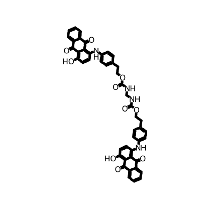 O=C(NCNC(=O)OCCc1ccc(Nc2ccc(O)c3c2C(=O)c2ccccc2C3=O)cc1)OCCc1ccc(Nc2ccc(O)c3c2C(=O)c2ccccc2C3=O)cc1